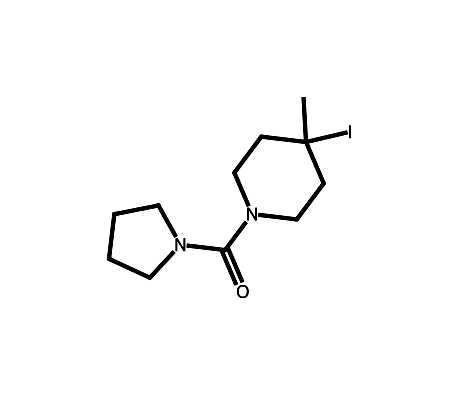 CC1(I)CCN(C(=O)N2CCCC2)CC1